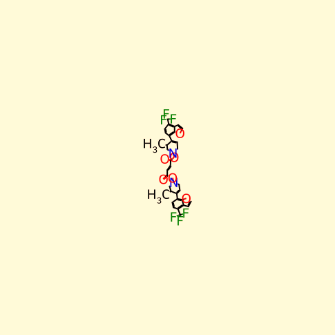 CC1CN(OC(=O)/C=C/C(=O)ON2CC=C(c3ccc(C(F)(F)F)c4ccoc34)C(C)C2)CC=C1c1ccc(C(F)(F)F)c2ccoc12